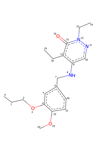 CCCOc1cc(CNc2cnn(CC)c(=O)c2CC)ccc1OC